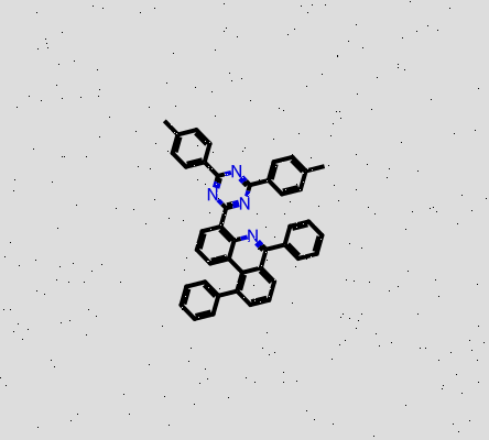 Cc1ccc(-c2nc(-c3ccc(C)cc3)nc(-c3cccc4c3nc(-c3ccccc3)c3cccc(-c5ccccc5)c34)n2)cc1